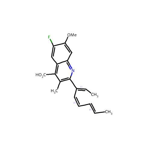 C/C=C/C=C\C(=C/C)c1nc2cc(OC)c(F)cc2c(C(=O)O)c1C